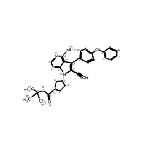 C#Cc1c(-c2ccc(Oc3ccccc3)cc2)c2c(N)ncnc2n1[C@@H]1CCN(C(=O)OC(C)(C)C)C1